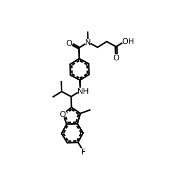 Cc1c(C(Nc2ccc(C(=O)N(C)CCC(=O)O)cc2)C(C)C)oc2ccc(F)cc12